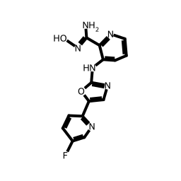 NC(=NO)c1ncccc1Nc1ncc(-c2ccc(F)cn2)o1